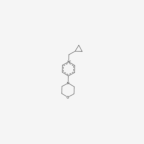 c1c[n+](CC2CC2)ccc1N1CCOCC1